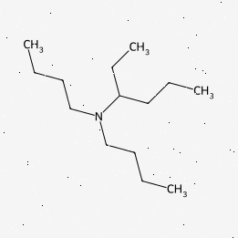 CCCCN(CCCC)C(CC)CCC